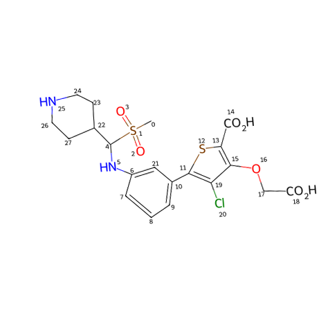 CS(=O)(=O)C(Nc1cccc(-c2sc(C(=O)O)c(OCC(=O)O)c2Cl)c1)C1CCNCC1